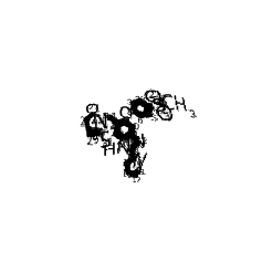 CS(=O)(=O)c1ccc(Oc2cc3nc(-c4ccccn4)[nH]c3cc2CN2C(=O)CCC2=S)cc1